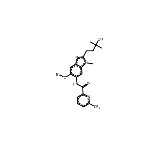 CCOc1cc2nc(CCC(C)(C)O)n(C)c2cc1NC(=O)c1cccc(C(F)(F)F)n1